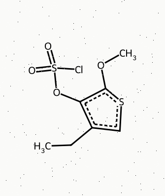 CCc1csc(OC)c1OS(=O)(=O)Cl